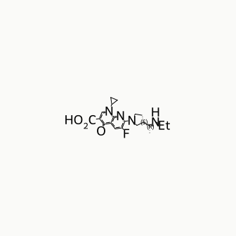 CCN[C@H](C)[C@H]1CCN(c2nc3c(cc2F)c(=O)c(C(=O)O)cn3C2CC2)C1